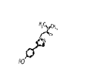 CN(C)C(=O)Cn1cc(-c2ccc(O)cc2)cn1